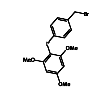 COc1cc(OC)c([I+]c2ccc(CBr)cc2)c(OC)c1